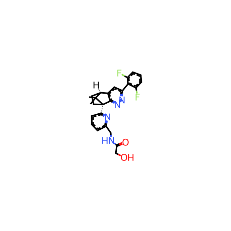 CC1(C)[C@H]2CC[C@]1(c1cccc(CNC(=O)CO)n1)c1nnc(-c3c(F)cccc3F)cc12